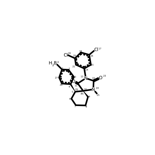 Bc1ccc([C@@H]2CCCC[C@]23C(=O)N(c2cc(Cl)cc(Cl)c2)C(=O)N3C)cc1